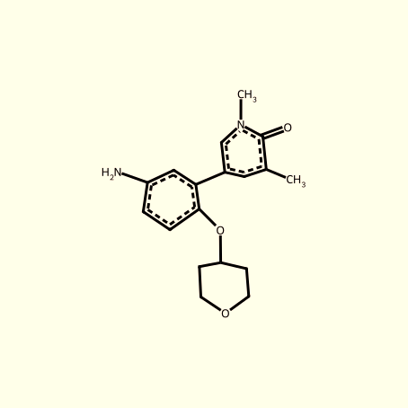 Cc1cc(-c2cc(N)ccc2OC2CCOCC2)cn(C)c1=O